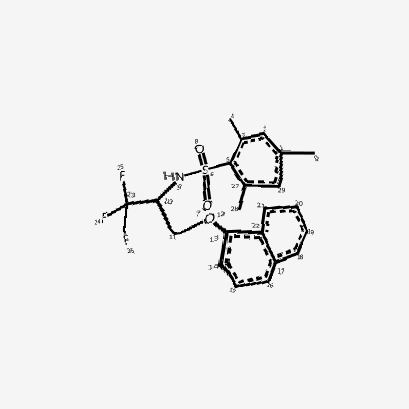 Cc1cc(C)c(S(=O)(=O)NC(COc2cccc3ccccc23)C(F)(F)F)c(C)c1